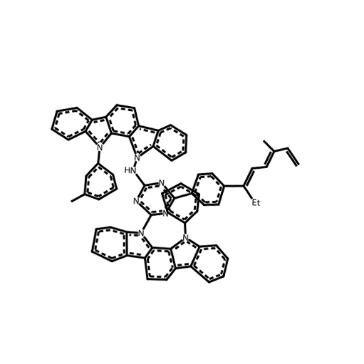 C=C/C(C)=C/C=C(\CC)c1ccc(-c2nc(Nn3c4ccccc4c4ccc5c6ccccc6n(-c6cccc(C)c6)c5c43)nc(-n3c4ccccc4c4ccc5c6ccccc6n(-c6ccccc6)c5c43)n2)cc1